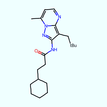 Cc1ccnc2c(CC(C)(C)C)c(NC(=O)CCC3CCCCC3)nn12